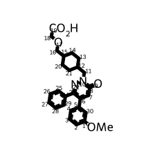 COc1cccc(-c2cc(=O)n(CC3CCC(COCC(=O)O)CC3)nc2-c2ccccc2)c1